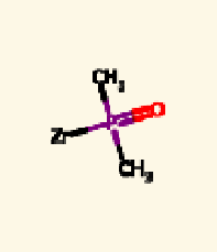 C[P](C)(=O)[Zr]